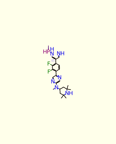 CN(c1cnc(-c2ccc(/C(C=N)=C/NPI)c(F)c2F)cn1)C1CC(C)(C)NC(C)(C)C1